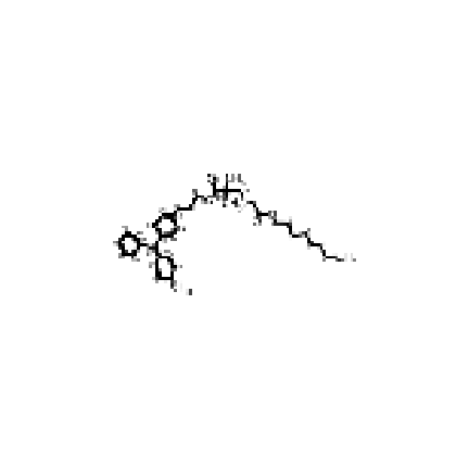 CCCCCCCCOC(=O)CSCC(C)(C)C(=O)OCCCc1ccc(C(=C2C=CC(C)C=C2)c2ccccc2)cc1